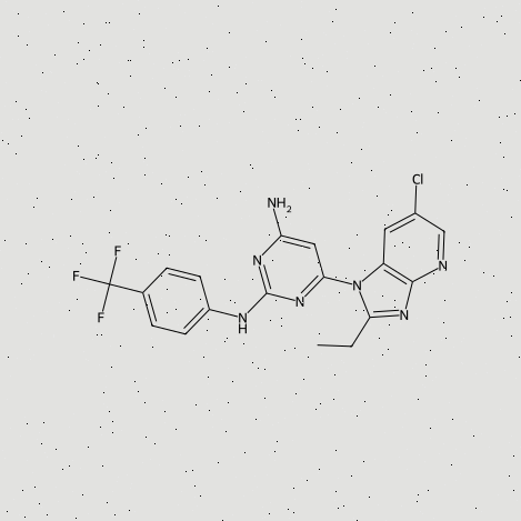 CCc1nc2ncc(Cl)cc2n1-c1cc(N)nc(Nc2ccc(C(F)(F)F)cc2)n1